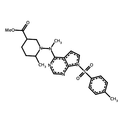 COC(=O)C1CCC(C)N(N(C)c2ncnc3c2ccn3S(=O)(=O)c2ccc(C)cc2)C1